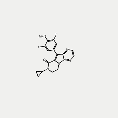 COc1c(F)cc(-c2c3n(c4nccnc24)CCN(C2CC2)C3=O)cc1F